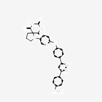 COc1ccc(-c2cc(-c3ccc(Oc4ccc(N5CCCC56C(=O)NC(=O)NC6=O)cn4)cc3)[nH]n2)cc1